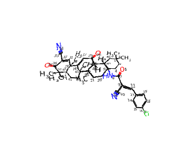 CC1(C)CC[C@]2(NC(=O)/C(C#N)=C/c3ccc(Cl)cc3)CC[C@]3(C)[C@H](C(=O)C=C4[C@@]5(C)C=C(C#N)C(=O)C(C)(C)[C@@H]5CC[C@]43C)[C@@H]2C1